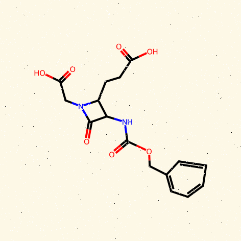 O=C(O)CCC1C(NC(=O)OCc2ccccc2)C(=O)N1CC(=O)O